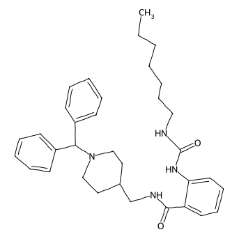 CCCCCCCNC(=O)Nc1ccccc1C(=O)NCC1CCN(C(c2ccccc2)c2ccccc2)CC1